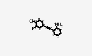 Nc1ccccc1C#Cc1ccc(Cl)c(F)c1